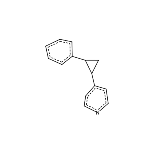 c1ccc(C2CC2c2ccncc2)cc1